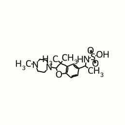 CC(NS(=O)(=O)O)c1ccc2c(c1)C(C)(C)C(N1CCN(C)CC1)O2